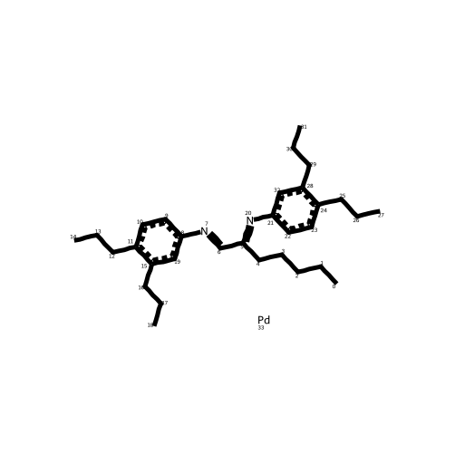 CCCCCC(C=Nc1ccc(CCC)c(CCC)c1)=Nc1ccc(CCC)c(CCC)c1.[Pd]